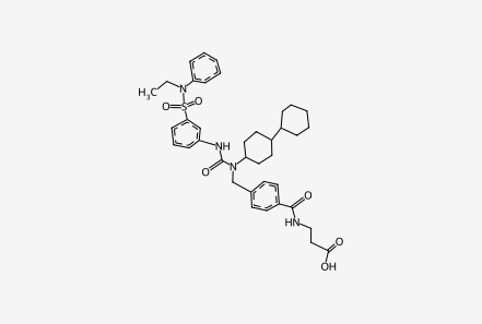 CCN(c1ccccc1)S(=O)(=O)c1cccc(NC(=O)N(Cc2ccc(C(=O)NCCC(=O)O)cc2)C2CCC(C3CCCCC3)CC2)c1